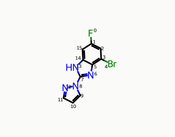 Fc1cc(Br)c2nc(-n3cccn3)[nH]c2c1